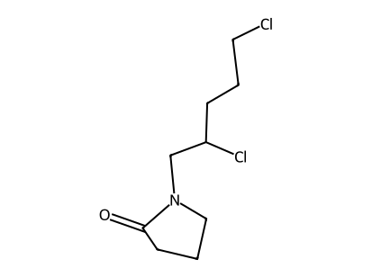 O=C1CCCN1CC(Cl)CCCCl